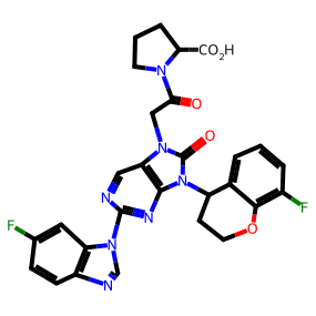 O=C(O)C1CCCN1C(=O)Cn1c(=O)n(C2CCOc3c(F)cccc32)c2nc(-n3cnc4ccc(F)cc43)ncc21